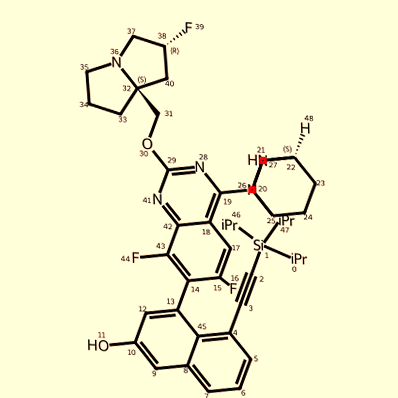 CC(C)[Si](C#Cc1cccc2cc(O)cc(-c3c(F)cc4c(N5C[C@@H]6CCC5CN6)nc(OC[C@@]56CCCN5C[C@H](F)C6)nc4c3F)c12)(C(C)C)C(C)C